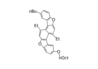 CCCCCCCCOc1ccc2oc3cc(CC)c4c(c(CC)cc5oc6ccc(CCCC)cc6c54)c3c2c1